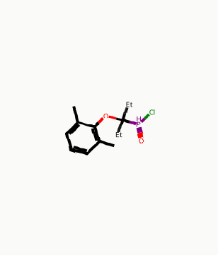 CCC(CC)(Oc1c(C)cccc1C)[PH](=O)Cl